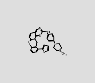 CN1CCN(c2ccc(Nc3ncc4ccc(=O)n(Cc5c(F)cccc5-c5cccs5)c4n3)cc2)CC1